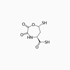 O=C1N[C@H](C(=O)S)CC(S)OC1=O